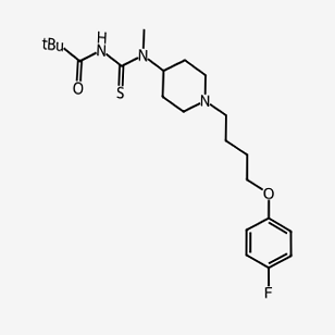 CN(C(=S)NC(=O)C(C)(C)C)C1CCN(CCCCOc2ccc(F)cc2)CC1